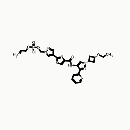 C=CCOP(=O)(O)OCn1cc(-c2nc(C(=O)Nc3cn([C@H]4C[C@@H](OCC)C4)nc3-c3ccccn3)cs2)cn1